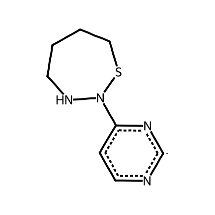 [c]1nccc(N2NCCCCS2)n1